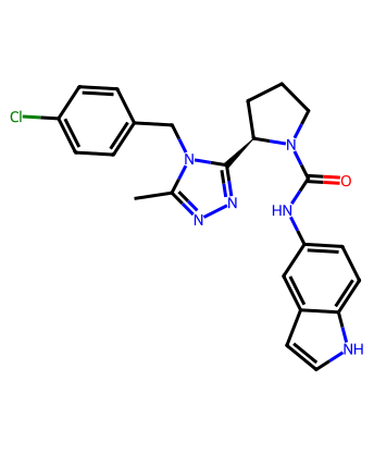 Cc1nnc([C@H]2CCCN2C(=O)Nc2ccc3[nH]ccc3c2)n1Cc1ccc(Cl)cc1